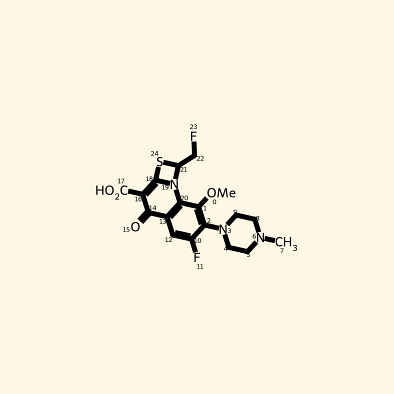 COc1c(N2CCN(C)CC2)c(F)cc2c(=O)c(C(=O)O)c3n(c12)C(CF)S3